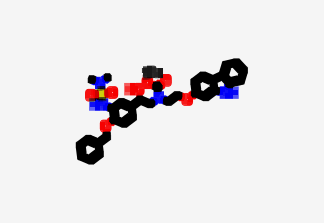 CN(C)S(=O)(=O)Nc1cc([C@@H](O)CN(CCOc2ccc3c(c2)[nH]c2ccccc23)C(=O)OC(C)(C)C)ccc1OCc1ccccc1